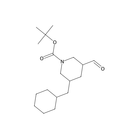 CC(C)(C)OC(=O)N1CC(C=O)CC(CC2CCCCC2)C1